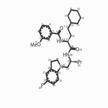 COc1cccc(C(=O)N[C@@H](CCC2CCCCC2)C(=O)N[C@H](CN2CCc3cc(F)ccc32)C(C)C)c1